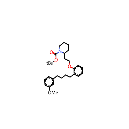 COc1cccc(CCCCc2ccccc2OCCC2CCCCN2C(=O)OC(C)(C)C)c1